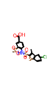 Cc1c(S(=O)(=O)Nc2ccc(C(=O)O)cc2S(C)(=O)=O)sc2ccc(Cl)cc12